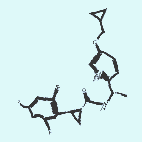 C[C@@H](NC(=O)[C@@H]1C[C@H]1c1c(F)cc(F)cc1F)c1ccc(OCC2CC2)cn1